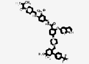 CC(C)C(=O)N1CCC(CNc2ccc(SNC(=O)c3ccc(N4CCN(CC5=C(c6ccc(C(F)(F)F)cc6)CC(C)(C)CC5)CC4)cc3Oc3cnc4[nH]ccc4c3)cc2[N+](=O)[O-])CC1